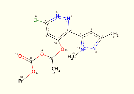 Cc1cc(-c2nnc(Cl)cc2OC(C)OC(=O)OC(C)C)n(C)n1